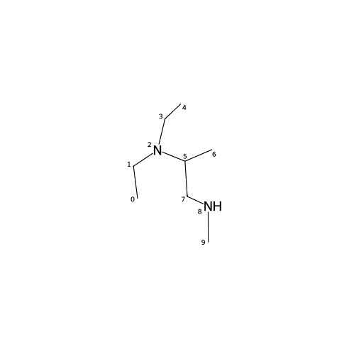 CCN(CC)C(C)CNC